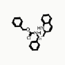 O=C(N[C@H](CC1C=Cc2ccccc2N1)c1ccccc1)OCc1ccccc1